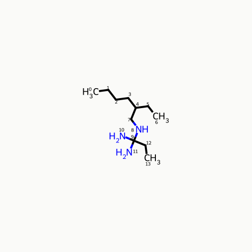 CCCCC(CC)CNC(N)(N)CC